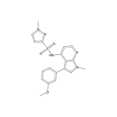 COc1cccc(-c2cn(C)c3nccc(NS(=O)(=O)c4ccn(C)n4)c23)c1